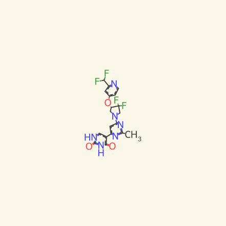 Cc1nc(-c2c[nH]c(=O)[nH]c2=O)cc(N2C[C@H](Oc3ccnc(C(F)F)c3)C(F)(F)C2)n1